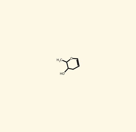 CC1OC=CCC1O